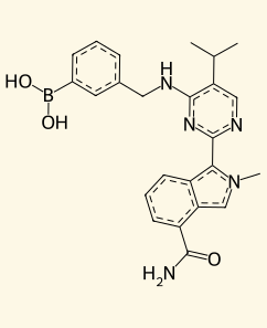 CC(C)c1cnc(-c2c3cccc(C(N)=O)c3cn2C)nc1NCc1cccc(B(O)O)c1